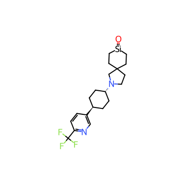 O=[Si]1CCC2(CCN([C@H]3CC[C@H](c4ccc(C(F)(F)F)nc4)CC3)C2)CC1